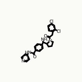 NC(c1ccc(C(=O)Nc2ccncc2)cc1)C1CCCN1C(=O)Cc1ccc(Cl)cc1Cl